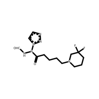 O=CNN(C(=O)CCCCN1CCCC(F)(F)C1)n1ccnn1